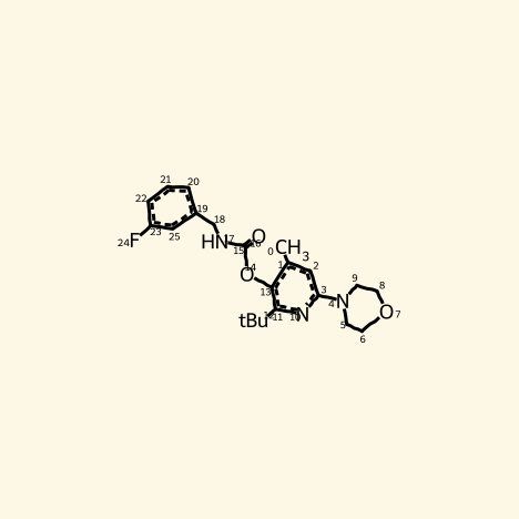 Cc1cc(N2CCOCC2)nc(C(C)(C)C)c1OC(=O)NCc1cccc(F)c1